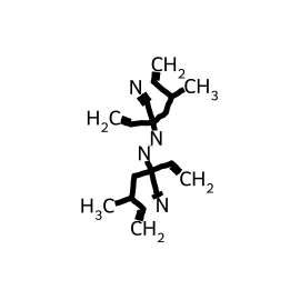 C=CC(C)CC(C#N)(C=C)/N=N/C(C#N)(C=C)CC(C)C=C